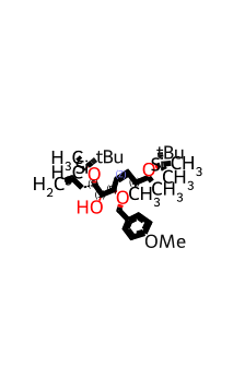 C=CC[C@H](O[Si](C)(C)C(C)(C)C)[C@@H](O)[C@@H](/C=C\[C@@H](C)C(C)O[Si](C)(C)C(C)(C)C)OCc1ccc(OC)cc1